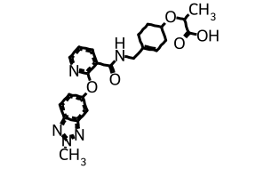 CC(OC1CC=C(CNC(=O)c2cccnc2Oc2ccc3nn(C)nc3c2)CC1)C(=O)O